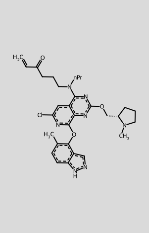 C=CC(=O)CCCN(CCC)c1nc(OC[C@@H]2CCCN2C)nc2c(Oc3c(C)ccc4[nH]ncc34)nc(Cl)cc12